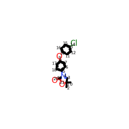 CC1(C)CN(c2ccc(Oc3ccc(Cl)cc3)cc2)C(=O)O1